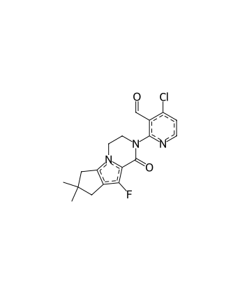 CC1(C)Cc2c(F)c3n(c2C1)CCN(c1nccc(Cl)c1C=O)C3=O